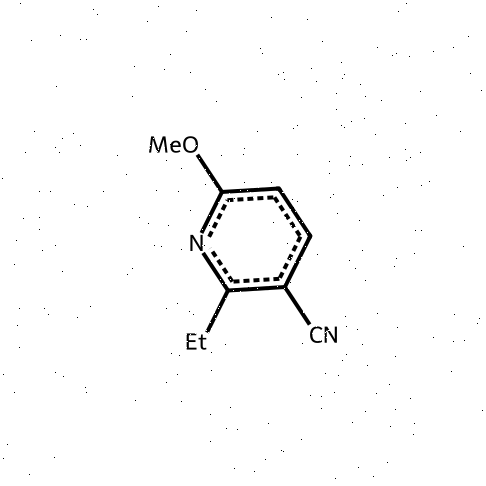 CCc1nc(OC)ccc1C#N